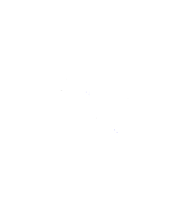 CC(C)c1cnc2c(c1)OC(CC(C)c1cnc3c(c1)CCCO3)CC2